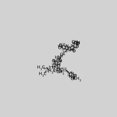 CCCN(CCC)CCCC[C@H](NC(=O)[C@@H](NC(=O)CCCC#Cc1cnc(S(C)(=O)=O)nc1)C(C)C)C(=O)NCC(=O)NCOCCCc1c2c(nc3cc4c(cc13)OCO4)-c1cc3c(c(=O)n1C2)COC(=O)[C@]3(O)CC